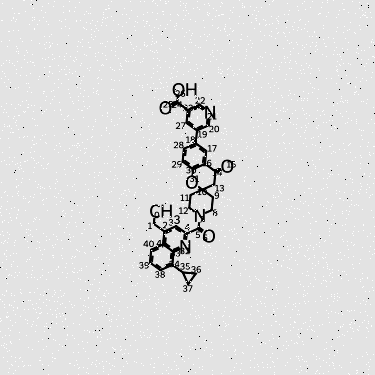 CCc1cc(C(=O)N2CCC3(CC2)CC(=O)c2cc(-c4cncc(C(=O)O)c4)ccc2O3)nc2c(C3CC3)cccc12